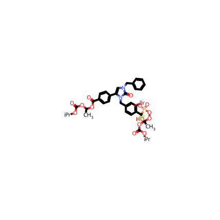 CC(C)OC(=O)OC(C)OC(=O)c1ccc(-c2cn(Cc3ccccc3)c(=O)n2Cc2ccc(C(F)(F)P(=O)(O)OOC(C)(O)OC(=O)OC(C)C)c(Br)c2)cc1